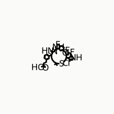 C=C1Oc2ccc(F)c(c2)/C(NC)=N/C(=N)[C@@](C)(c2cccc(CCC(=O)O)c2)CCCC(C)(C)CSCC/C1=c1\c(Cl)c[nH]\c1=C(/F)CF